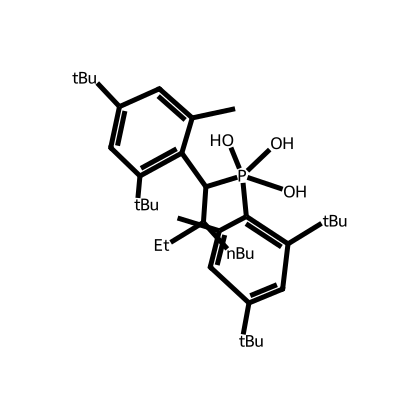 CCCCC(CC)C(c1c(C)cc(C(C)(C)C)cc1C(C)(C)C)P(O)(O)(O)c1c(C)cc(C(C)(C)C)cc1C(C)(C)C